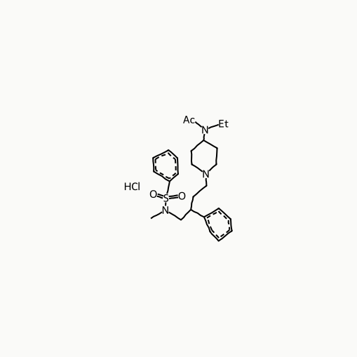 CCN(C(C)=O)C1CCN(CCC(CN(C)S(=O)(=O)c2ccccc2)c2ccccc2)CC1.Cl